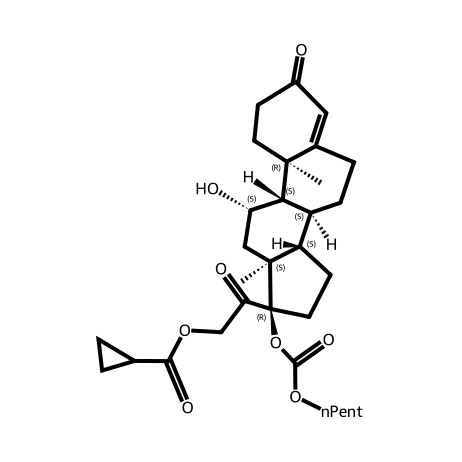 CCCCCOC(=O)O[C@]1(C(=O)COC(=O)C2CC2)CC[C@H]2[C@@H]3CCC4=CC(=O)CC[C@]4(C)[C@H]3[C@@H](O)C[C@@]21C